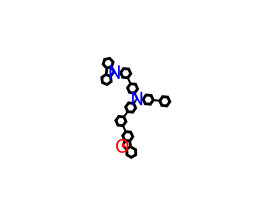 c1ccc(-c2ccc(N(c3ccc(-c4cccc(-c5ccc6c(c5)oc5ccccc56)c4)cc3)c3ccc(-c4cccc(-n5c6ccccc6c6ccccc65)c4)cc3)cc2)cc1